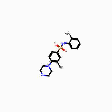 COc1ccccc1NS(=O)(=O)c1ccc(N2CCNCC2)c([N+](=O)[O-])c1